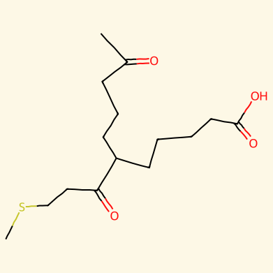 CSCCC(=O)C(CCCCC(=O)O)CCCC(C)=O